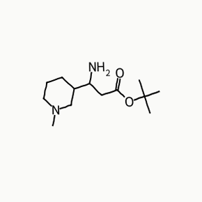 CN1CCCC(C(N)CC(=O)OC(C)(C)C)C1